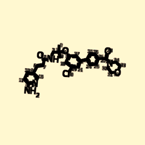 CC(C)(CNC(=O)/C=C/c1ccc(N)nc1)Oc1cc(Cl)cc(-c2ccc(C(=O)N3CCOCC3)cc2)c1